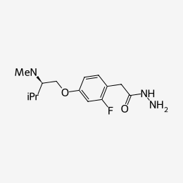 CN[C@@H](COc1ccc(CC(=O)NN)c(F)c1)C(C)C